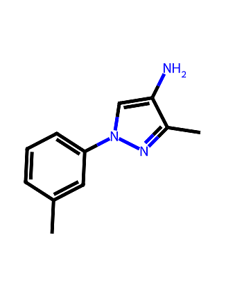 Cc1cccc(-n2cc(N)c(C)n2)c1